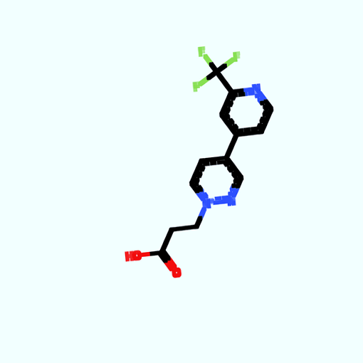 O=C(O)CC[n+]1ccc(-c2ccnc(C(F)(F)F)c2)cn1